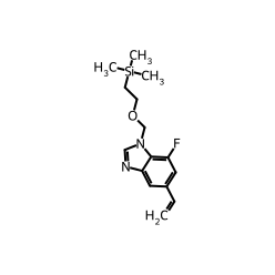 C=Cc1cc(F)c2c(c1)ncn2COCC[Si](C)(C)C